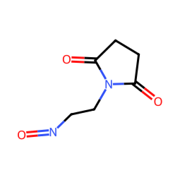 O=NCCN1C(=O)CCC1=O